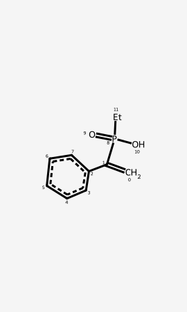 C=C(c1ccccc1)P(=O)(O)CC